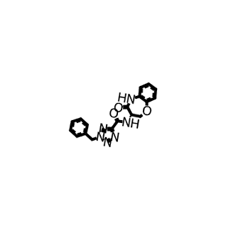 O=C(N[C@H]1COc2ccccc2NC1=O)c1nnn(Cc2ccccc2)n1